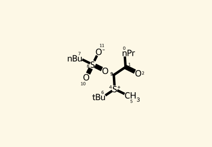 CCCC(=O)C[S+](C)C(C)(C)C.CCCCS(=O)(=O)[O-]